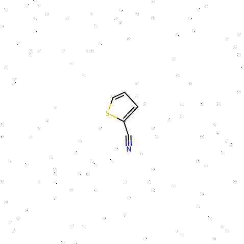 N#Cc1cc[c]s1